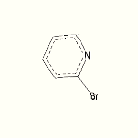 Brc1ccc[c]n1